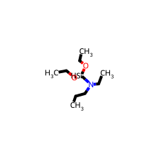 CCCN(CC)[SiH](OCC)OCC